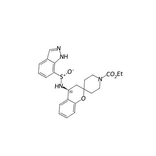 CCOC(=O)N1CCC2(CC1)C[C@H](N[S+]([O-])c1cccc3cn[nH]c13)c1ccccc1O2